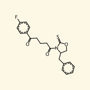 O=C(CCCC(=O)N1C(=S)OCC1Cc1ccccc1)c1ccc(F)cc1